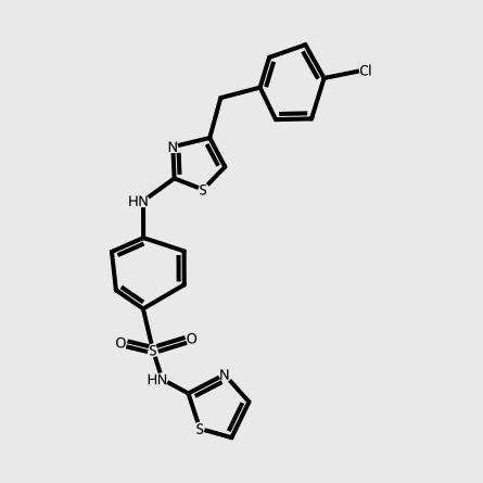 O=S(=O)(Nc1nccs1)c1ccc(Nc2nc(Cc3ccc(Cl)cc3)cs2)cc1